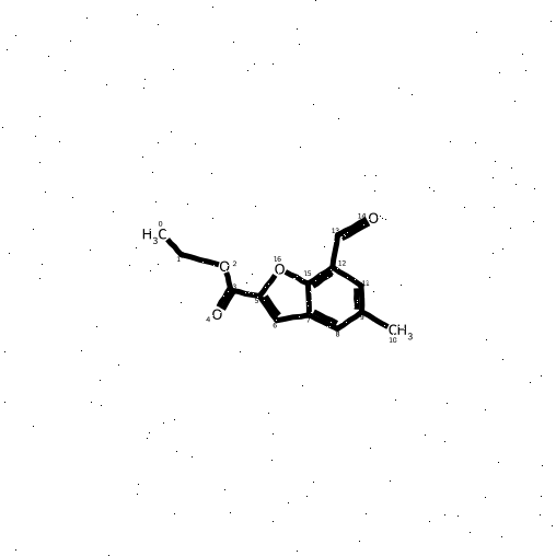 CCOC(=O)c1cc2cc(C)cc(C=O)c2o1